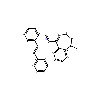 CN1CCN=C(/C=C/c2ccccc2/C=C/c2ccccc2)c2ccccc21